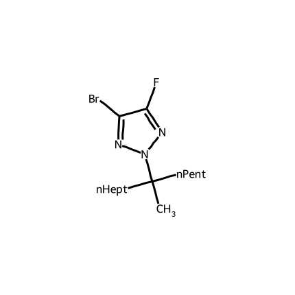 CCCCCCCC(C)(CCCCC)n1nc(F)c(Br)n1